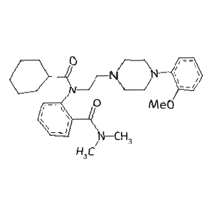 COc1ccccc1N1CCN(CCN(C(=O)C2CCCCC2)c2ccccc2C(=O)N(C)C)CC1